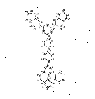 c1ccc(-c2cc(-c3ccc(-c4ccc(-c5nc(-c6ccc7ccccc7c6)cc(-c6ccc7ccccc7c6)n5)cc4)cc3)nc3ccc4ccccc4c23)cc1